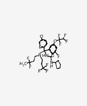 CC(F)(F)CCN(CCC(F)(F)F)CC(NC(=O)NC1CCCC1)(c1cc(F)cc(OC(F)(F)C(F)F)c1)c1ccc(Cl)cn1